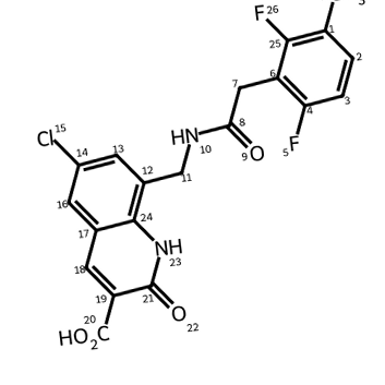 Cc1ccc(F)c(CC(=O)NCc2cc(Cl)cc3cc(C(=O)O)c(=O)[nH]c23)c1F